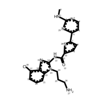 CNc1nccc(-c2ccc(C(=O)Nc3nc4c(Cl)cccc4n3CCCN)s2)n1